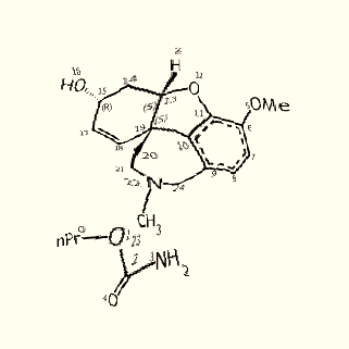 CCCOC(N)=O.COc1ccc2c3c1O[C@H]1C[C@@H](O)C=C[C@@]31CCN(C)C2